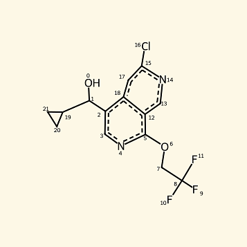 OC(c1cnc(OCC(F)(F)F)c2cnc(Cl)cc12)C1CC1